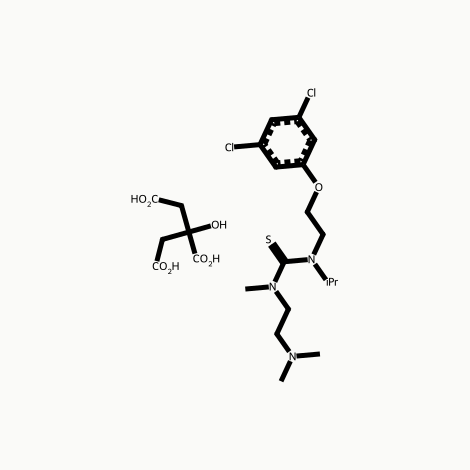 CC(C)N(CCOc1cc(Cl)cc(Cl)c1)C(=S)N(C)CCN(C)C.O=C(O)CC(O)(CC(=O)O)C(=O)O